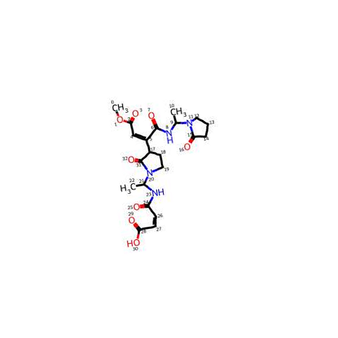 COC(=O)/C=C(\C(=O)NC(C)N1CCCC1=O)C1CCN(C(C)NC(=O)/C=C\C(=O)O)C1=O